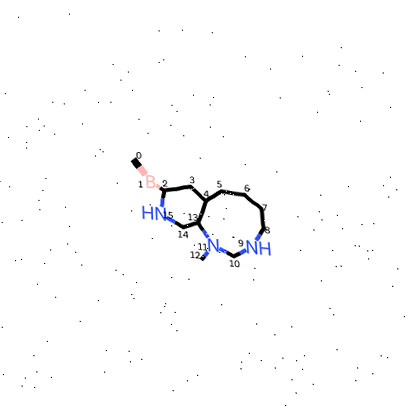 C=BC1CC2CCCCNCN(C)C2CN1